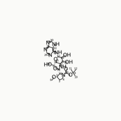 CO[C@H]1CCN(C(=O)OC(C)(C)C)[C@H]1C(=O)N[C@@H]1[C@@H](O)[C@H](O)[C@@H](Nc2ncnc3nc[nH]c23)O[C@H]1CO